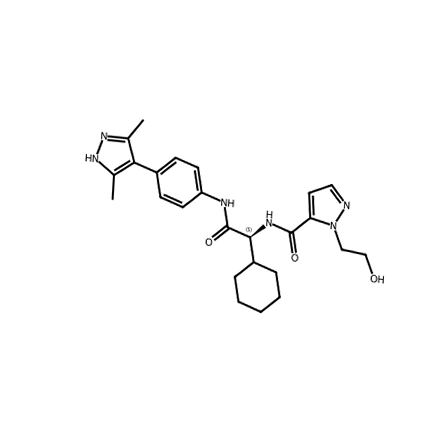 Cc1n[nH]c(C)c1-c1ccc(NC(=O)[C@@H](NC(=O)c2ccnn2CCO)C2CCCCC2)cc1